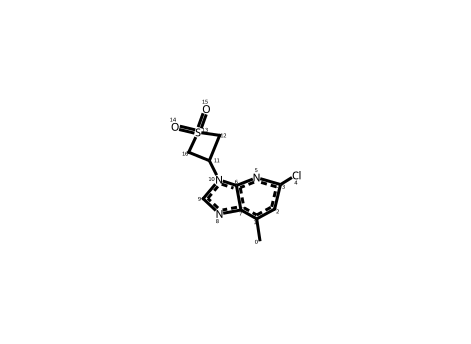 Cc1cc(Cl)nc2c1ncn2C1CS(=O)(=O)C1